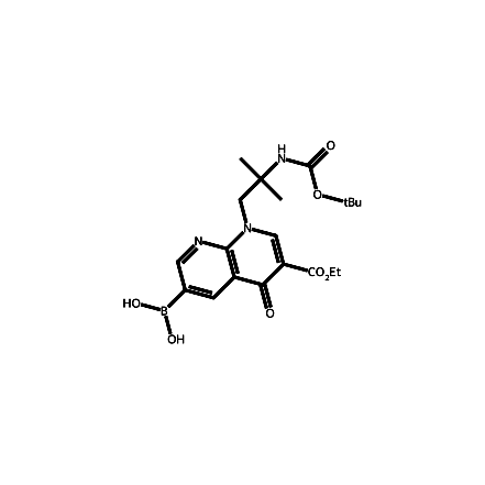 CCOC(=O)c1cn(CC(C)(C)NC(=O)OC(C)(C)C)c2ncc(B(O)O)cc2c1=O